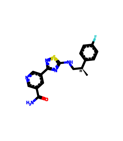 C[C@H](CNc1nc(-c2cncc(C(N)=O)c2)ns1)c1ccc(F)cc1